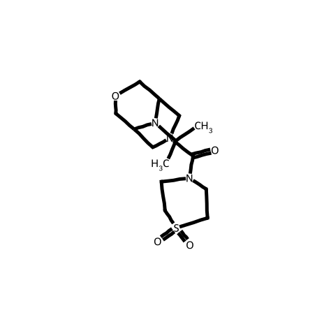 CC(C)N1C2COCC1CN(C(=O)N1CCS(=O)(=O)CC1)C2